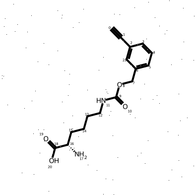 C#Cc1cccc(COC(=O)NCCCC[C@H](N)C(=O)O)c1